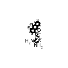 C[N+](CCN)(CCN)CCNc1ccc(F)c2c1C(=O)c1ccccc1C2=O